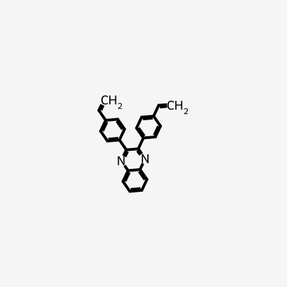 C=Cc1ccc(-c2nc3ccccc3nc2-c2ccc(C=C)cc2)cc1